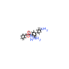 Nc1ccc(-c2ccc(NC(=O)OCc3ccccc3)c(N)c2)cc1